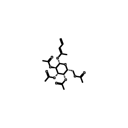 C=C/C=C(\C)O[C@@H]1O[C@H](COC(C)=O)[C@H](OC(C)=O)[C@H](OC(C)=O)[C@H]1OC(C)=O